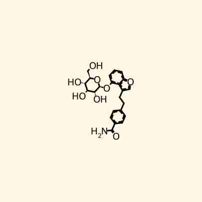 NC(=O)c1ccc(CCc2coc3cccc(O[C@@H]4O[C@H](CO)[C@@H](O)[C@H](O)[C@H]4O)c23)cc1